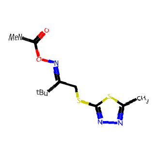 CNC(=O)O/N=C(/CSc1nnc(C)s1)C(C)(C)C